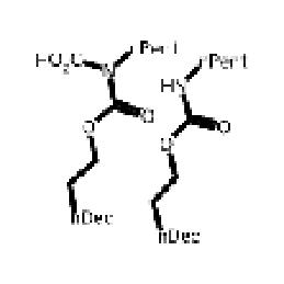 CCCCCCCCCCCCOC(=O)N(CCCCC)C(=O)O.CCCCCCCCCCCCOC(=O)NCCCCC